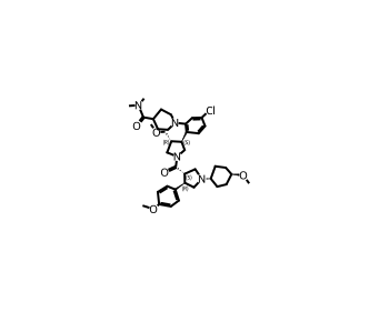 COC[C@H]1CN(C(=O)[C@@H]2CN([C@H]3CC[C@H](OC)CC3)C[C@H]2c2ccc(OC)cc2)C[C@@H]1c1ccc(Cl)cc1N1CCC(C(=O)N(C)C)CC1